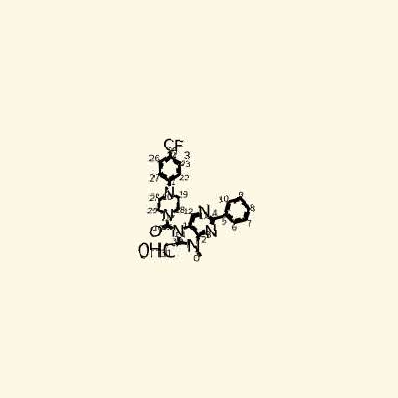 CN1c2nc(-c3ccccc3)ncc2N(C(=O)N2CCN(c3ccc(C(F)(F)F)cc3)CC2)C1C=O